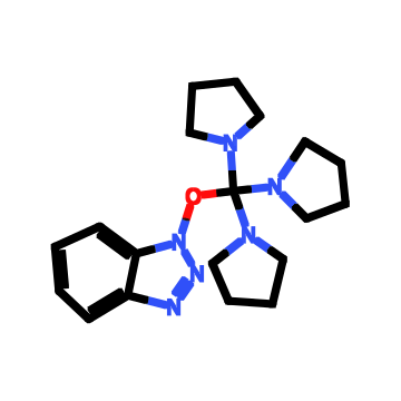 c1ccc2c(c1)nnn2OC(N1CCCC1)(N1CCCC1)N1CCCC1